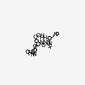 CC1CCCCN1c1nnc2ccc(O[C@@H]3CC[C@H](NC(=O)Nc4cc(C(C)(C)C)nn4-c4cccc(CCN5CCCC5)c4)c4ccccc43)cn12.O=CO